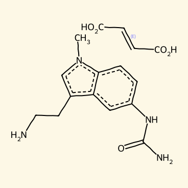 Cn1cc(CCN)c2cc(NC(N)=O)ccc21.O=C(O)/C=C/C(=O)O